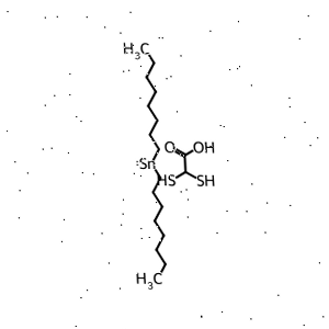 CCCCCCC[CH2][Sn][CH2]CCCCCCC.O=C(O)C(S)S